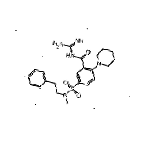 CN(CCc1ccccc1)S(=O)(=O)c1ccc(N2CCCCC2)c(C(=O)NC(=N)N)c1